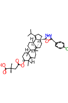 CC(C)C1=C2[C@H]3CC[C@@H]4C5(C)CC[C@H](OC(=O)CC(C)(C)C(=O)O)C(C)(C)[C@@H]5CC[C@@]4(C)[C@]3(C)CC[C@@]2(c2nnc(-c3ccc(Cl)cc3)o2)CC1